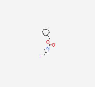 O=C(OCc1ccccc1)N1CC(CI)C1